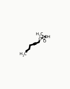 C=CCCC#CCOP(C)(=O)O